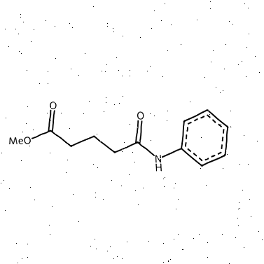 COC(=O)CCCC(=O)Nc1cc[c]cc1